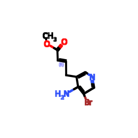 COC(=O)/C=C/Cc1cncc(Br)c1N